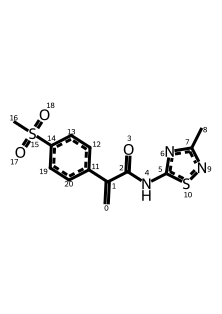 C=C(C(=O)Nc1nc(C)ns1)c1ccc(S(C)(=O)=O)cc1